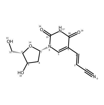 N#CC=Cc1cn([C@@H]2CC(O)[C@H](CO)O2)c(=O)[nH]c1=O